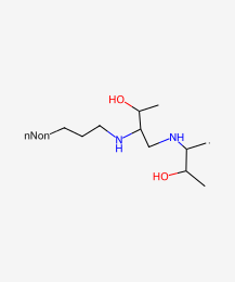 [CH2]C(NCC(NCCCCCCCCCCCC)C(C)O)C(C)O